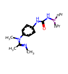 CCCP(CCC)NC(=O)Nc1ccc(N(C)C(C)=NC)cc1